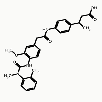 COc1cc(CC(=O)Nc2ccc(C(C)CC(=O)O)cc2)ccc1NC(=O)N(C)c1ccccc1C